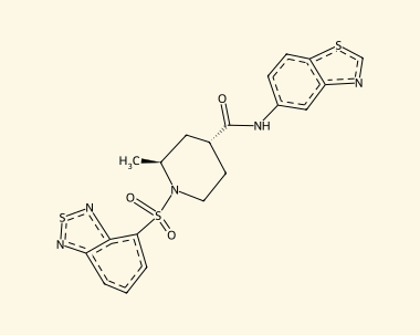 C[C@H]1C[C@H](C(=O)Nc2ccc3scnc3c2)CCN1S(=O)(=O)c1cccc2nsnc12